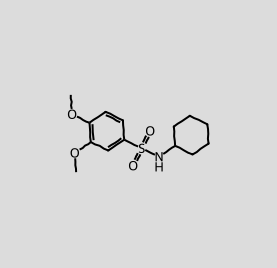 COc1ccc(S(=O)(=O)NC2CCCCC2)cc1OC